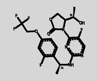 C[C@H](Nc1ncc(F)c(N2C(=O)OCC2[C@@H](C)O)n1)c1ccc(OCC(F)(F)F)cc1F